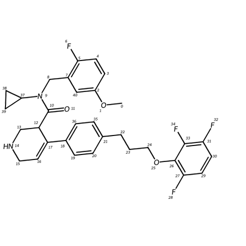 COc1ccc(F)c(CN(C(=O)C2CNCC=C2c2ccc(CCCOc3c(F)ccc(F)c3F)cc2)C2CC2)c1